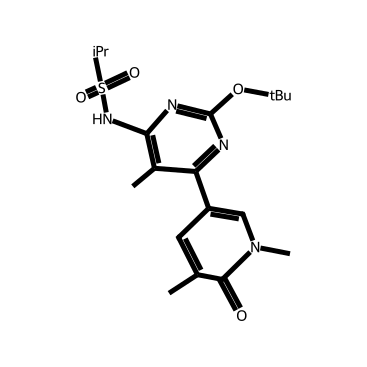 Cc1c(NS(=O)(=O)C(C)C)nc(OC(C)(C)C)nc1-c1cc(C)c(=O)n(C)c1